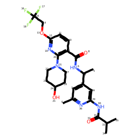 Cc1cc(C(C)NC(=O)c2ccc(OCC(F)(F)F)nc2N2CCC(O)CC2)cc(NC(=O)C(C)C)n1